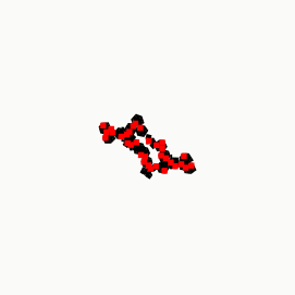 C=C/C=C(\C(=C)C(=C)/C=C\c1ccc2ccc(-c3ccc(C(/C=C/c4cccc(N(c5ccc(-c6cccc(/C(C)=C/C=C\C)c6)cc5)c5ccc(-c6cc7ccccc7c7ccccc67)cc5)c4)C(C=C)C=C)cc3)cc2c1)N(c1ccc(-c2cc3ccccc3c3ccccc23)cc1)C1C=CC(c2ccccc2-c2ccccc2)=CC1